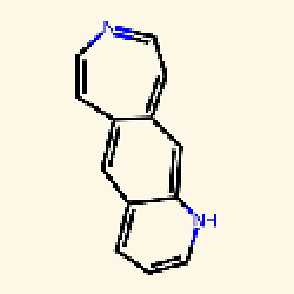 C1=CNc2cc3c(cc2=C1)C=CN=CC=3